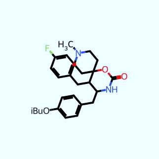 CC(C)COc1ccc(CC2NC(=O)OC3(CCN(C)CC3)C2Cc2ccc(F)cc2)cc1